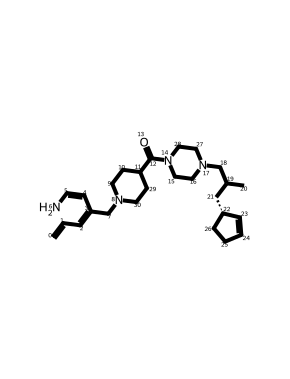 C=C/C=C(\C=C/N)CN1CCC(C(=O)N2CCN(CC(C)C[C@@H]3C=CCC3)CC2)CC1